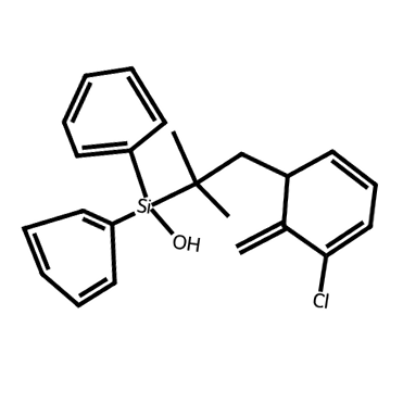 C=C1C(Cl)=CC=CC1CC(C)(C)[Si](O)(c1ccccc1)c1ccccc1